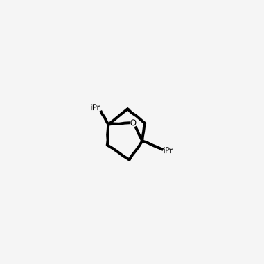 CC(C)C12CCC(C(C)C)(CC1)O2